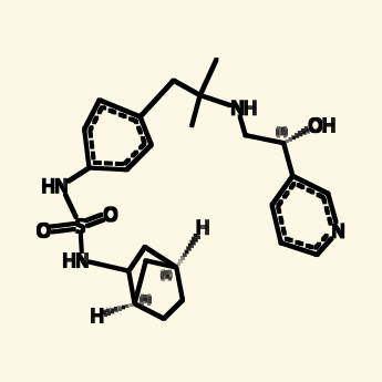 CC(C)(Cc1ccc(NS(=O)(=O)NC2C[C@H]3CC[C@@H]2C3)cc1)NC[C@H](O)c1cccnc1